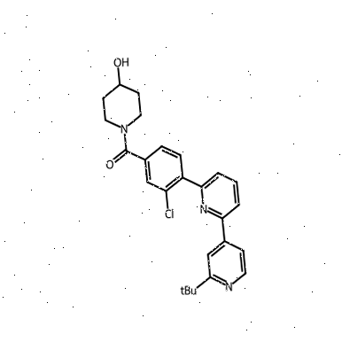 CC(C)(C)c1cc(-c2cccc(-c3ccc(C(=O)N4CCC(O)CC4)cc3Cl)n2)ccn1